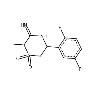 CC1C(=N)NC(c2cc(F)ccc2F)CS1(=O)=O